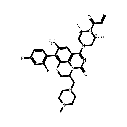 C=CC(=O)N1[C@H](C)CN(c2nc(=O)n3c4c(c(-c5ccc(F)cc5F)c(C(F)(F)F)cc24)SCC3CN2CCN(C)CC2)C[C@@H]1C